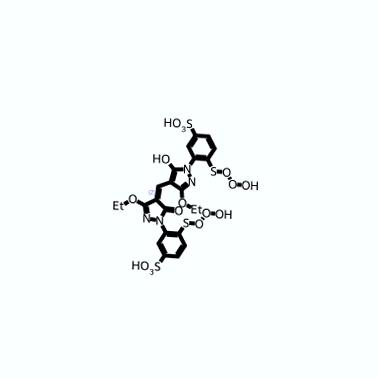 CCOC1=NN(c2cc(S(=O)(=O)O)ccc2SOOO)C(=O)/C1=C\c1c(OCC)nn(-c2cc(S(=O)(=O)O)ccc2SOOO)c1O